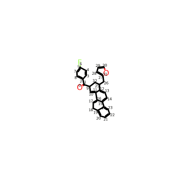 O=C(c1ccc(F)cc1)C1C=c2c(ccc3c2=CCc2ccccc2-3)C(Cc2ccco2)C1